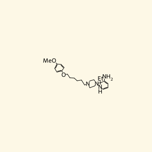 CCC1(N2CCN(CCCCCCOc3ccc(OC)cc3)CC2)NC=CC=C1N